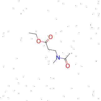 [CH2]C(=O)N(C)CCC(=O)OCC